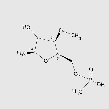 CO[C@@H]1C(O)[C@H](C)O[C@@H]1COP(C)(=O)O